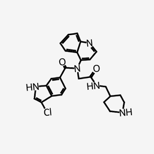 O=C(CN(C(=O)c1ccc2c(Cl)c[nH]c2c1)c1ccnc2ccccc12)NCC1CCNCC1